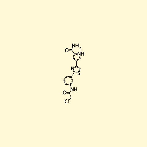 NC(=O)c1cc(-c2csc(-c3cccc(NC(=O)CCl)c3)n2)c[nH]1